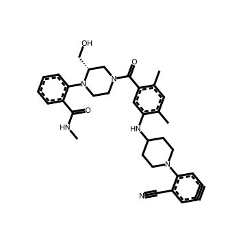 CNC(=O)c1ccccc1N1CCN(C(=O)c2cc(NC3CCN(c4cc#ccc4C#N)CC3)c(C)cc2C)C[C@H]1CO